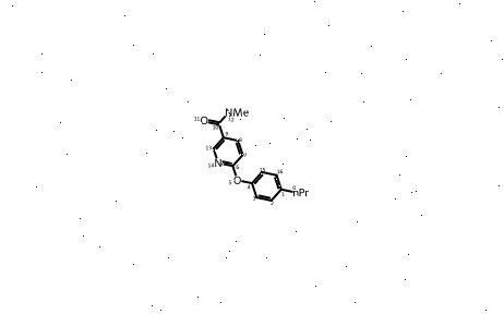 CCCc1ccc(Oc2ccc(C(=O)NC)cn2)cc1